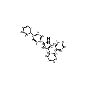 c1ccc(-c2ccc(-c3nc4c5cccnc5c5ncccc5c4[nH]3)cc2)cc1